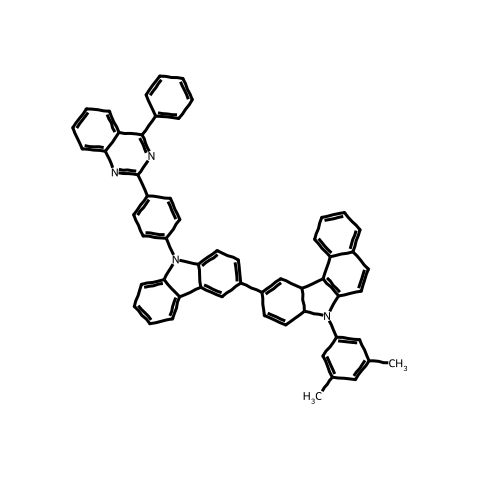 Cc1cc(C)cc(N2c3ccc4ccccc4c3C3C=C(c4ccc5c(c4)c4ccccc4n5-c4ccc(-c5nc(-c6ccccc6)c6ccccc6n5)cc4)C=CC32)c1